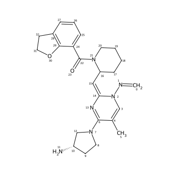 C=NN1C=C(C)C(N2CC[C@H](N)C2)=N/C1=C/C1CCCCN1C(=O)c1cccc2c1OCC2